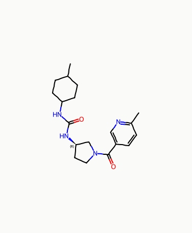 Cc1ccc(C(=O)N2CC[C@@H](NC(=O)NC3CCC(C)CC3)C2)cn1